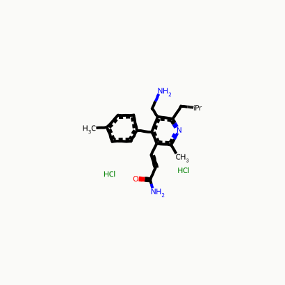 Cc1ccc(-c2c(/C=C/C(N)=O)c(C)nc(CC(C)C)c2CN)cc1.Cl.Cl